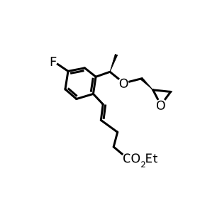 CCOC(=O)CC/C=C/c1ccc(F)cc1[C@@H](C)OC[C@H]1CO1